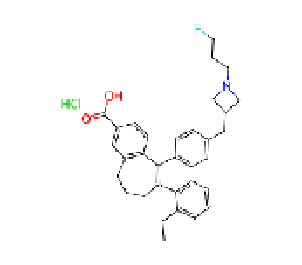 CCc1ccccc1C1=C(c2ccc(CC3CN(CCCF)C3)cc2)c2ccc(C(=O)O)cc2CCC1.Cl